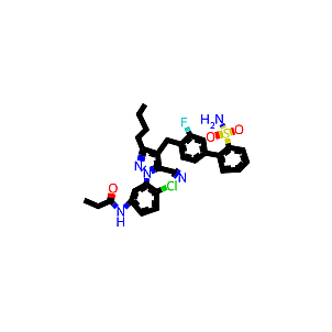 CCCCc1nn(-c2cc(NC(=O)CC)ccc2Cl)c(C#N)c1Cc1ccc(-c2ccccc2S(N)(=O)=O)cc1F